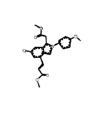 COC(=O)C=Cc1cc(Cl)cc2c(CC(=O)OC)n(-c3ccc(OC)cc3)cc12